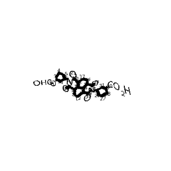 O=COc1cccc(N2C(=O)c3ccc4c5c(ccc(c35)C2=O)C(=O)N(c2cccc(C(=O)O)c2)C4=O)c1